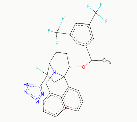 CC(OC1CCC2N(Cc3ccccc3)C1(c1ccccc1)CC2(F)c1nnn[nH]1)c1cc(C(F)(F)F)cc(C(F)(F)F)c1